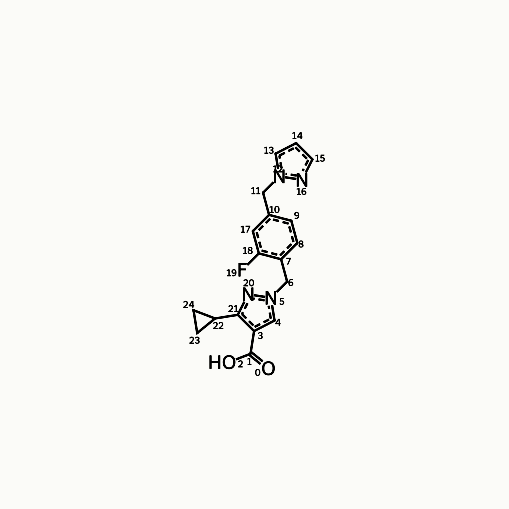 O=C(O)c1cn(Cc2ccc(Cn3cccn3)cc2F)nc1C1CC1